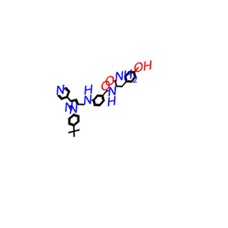 CC(C)(C)c1ccc(-n2nc(-c3ccncc3)cc2CNc2cccc(C(=O)NC(Cc3ccc(O)cc3)C(N)=O)c2)cc1